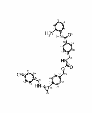 Nc1ccccc1NC(=O)c1ccc(CNC(=O)OCc2ccc(C3C[C@@H]3NCc3ccc(Cl)cc3)cc2)cc1